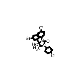 CCc1cccc(C2(O)[C@@H](C)N(c3ccc(Cl)cc3)C(=O)N2c2ccc(Cl)cc2)c1